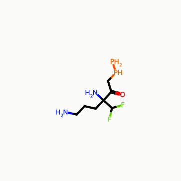 NCCCC(N)(C(=O)CPP)C(F)F